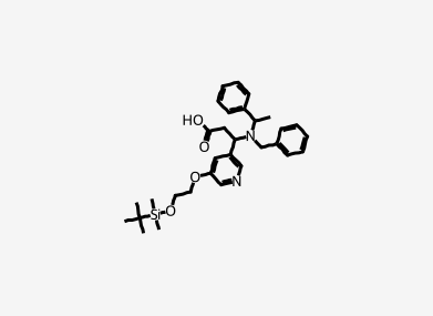 CC(c1ccccc1)N(Cc1ccccc1)C(CC(=O)O)c1cncc(OCCO[Si](C)(C)C(C)(C)C)c1